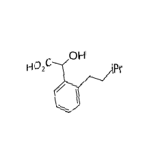 CC(C)CCc1ccccc1C(O)C(=O)O